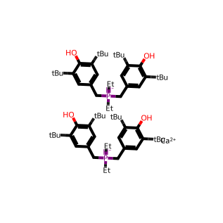 CC[PH-](CC)(Cc1cc(C(C)(C)C)c(O)c(C(C)(C)C)c1)Cc1cc(C(C)(C)C)c(O)c(C(C)(C)C)c1.CC[PH-](CC)(Cc1cc(C(C)(C)C)c(O)c(C(C)(C)C)c1)Cc1cc(C(C)(C)C)c(O)c(C(C)(C)C)c1.[Ca+2]